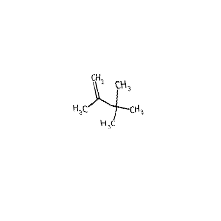 C=C(C)C(C)(C)C